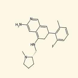 Cc1cccc(F)c1C1C=c2cnc(N)cc2=C(NC[C@@H]2CCCN2C)C1